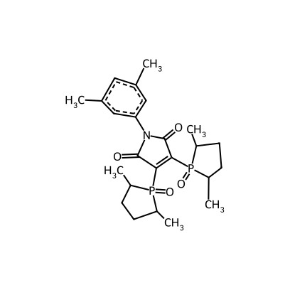 Cc1cc(C)cc(N2C(=O)C(P3(=O)C(C)CCC3C)=C(P3(=O)C(C)CCC3C)C2=O)c1